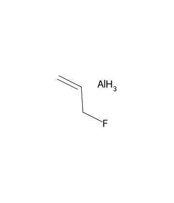 C=CCF.[AlH3]